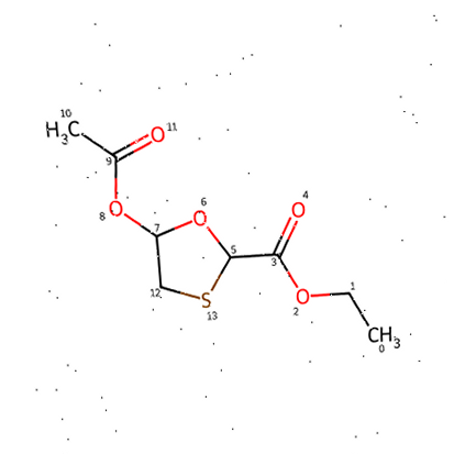 CCOC(=O)C1OC(OC(C)=O)CS1